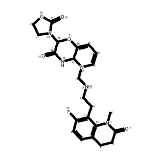 CN1C(=O)CCc2ccc(F)c(CCNCN3C=CC=C4OC(N5CCOC5=O)C(=O)NC43)c21